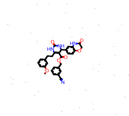 COc1cccc(CCC2=C(C(=O)OCc3cccc(C#N)c3)C(c3ccc4c(c3)NC(=O)CO4)NC(=O)N2)c1